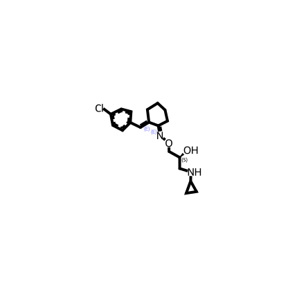 O[C@@H](CNC1CC1)CO/N=C1\CCCC\C1=C/c1ccc(Cl)cc1